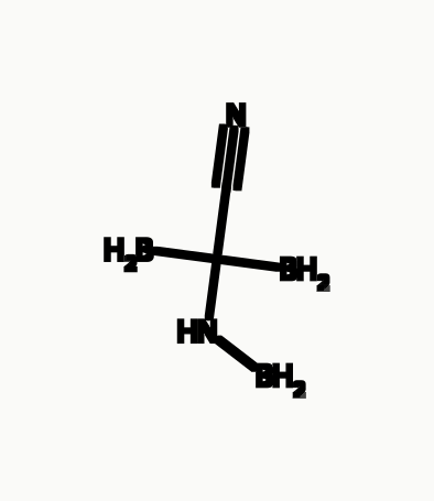 BNC(B)(B)C#N